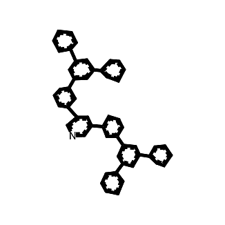 c1ccc(-c2cc(-c3ccccc3)cc(-c3cccc(-c4cncc(-c5cccc(-c6cc(-c7ccccc7)cc(-c7ccccc7)c6)c5)c4)c3)c2)cc1